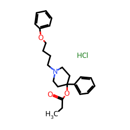 CCC(=O)OC1(c2ccccc2)CCN(CCCCOc2ccccc2)CC1.Cl